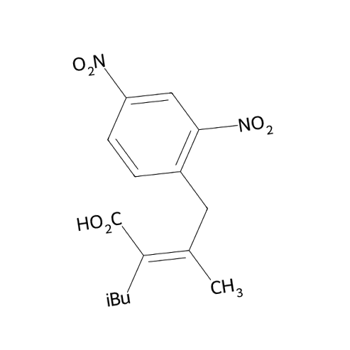 CCC(C)C(C(=O)O)=C(C)Cc1ccc([N+](=O)[O-])cc1[N+](=O)[O-]